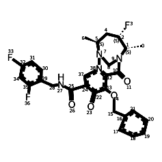 C[C@H]1[C@@H](F)C[C@H](C)N2CN1C(=O)c1c(OCc3ccccc3)c(=O)c(C(=O)NCc3ccc(F)cc3F)cn12